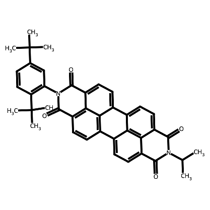 CC(C)N1C(=O)c2ccc3c4ccc5c6c(ccc(c7ccc(c2c37)C1=O)c64)C(=O)N(c1cc(C(C)(C)C)ccc1C(C)(C)C)C5=O